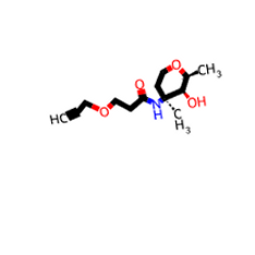 C#CCOCCC(=O)N[C@@]1(C)CCO[C@@H](C)[C@H]1O